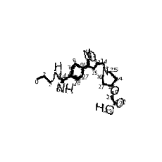 CCCNC(=N)c1ccc(C2=NOC(CN3CCC(OCC(=O)O)CC3)C2)cc1